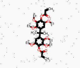 C=CC(=O)Oc1c(OCC)cc(C(C)(C)c2cc(OCC)c(OC(=O)C=C)c(OCC)c2OCC)c(OCC)c1OCC